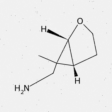 CC1(CN)[C@@H]2OCC[C@@H]21